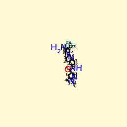 CCn1ccc2cc(C(=O)N[C@H]3CCc4nc(N5C[C@@H](N)[C@H](C(F)F)C5)ccc4C3)cnc21